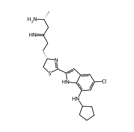 C[C@@H](N)CC(=N)CC[C@H]1CSC(c2cc3cc(Cl)cc(NC4CCCC4)c3[nH]2)=N1